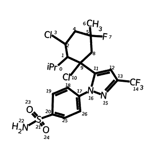 CC(C)C1C(Cl)CC(C)(F)CC1(Cl)c1cc(C(F)(F)F)nn1-c1ccc(S(N)(=O)=O)cc1